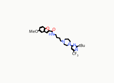 COc1ccc2oc(C(=O)NCCCCN3CCCN(c4cc(C(F)(F)F)nc(C(C)(C)C)n4)CC3)cc2c1